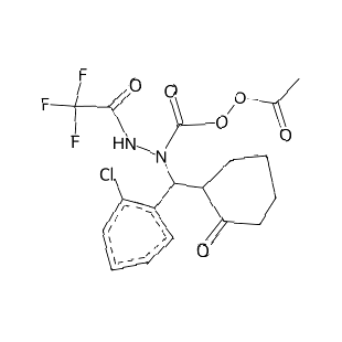 CC(=O)OOC(=O)N(NC(=O)C(F)(F)F)C(c1ccccc1Cl)C1CCCCC1=O